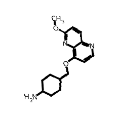 COc1ccc2nccc(OCC3CCC(N)CC3)c2n1